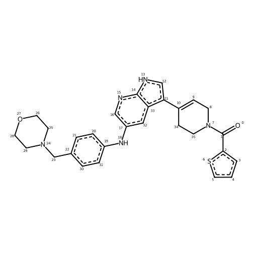 O=C(c1cccs1)N1CC=C(c2c[nH]c3ncc(Nc4ccc(CN5CCOCC5)cc4)cc23)CC1